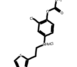 CC(=O)Oc1ccc(NCCc2cccs2)cc1Cl.Cl